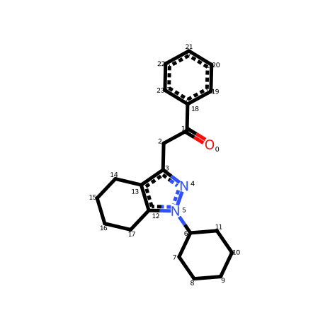 O=C(Cc1nn(C2CCCCC2)c2c1CCCC2)c1ccccc1